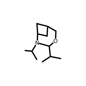 CC(C)C1OCC2CC(C2)N1C(C)C